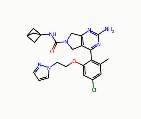 Cc1cc(Cl)cc(OCCn2cccn2)c1-c1nc(N)nc2c1CN(C(=O)NC13CC(C1)C3)C2